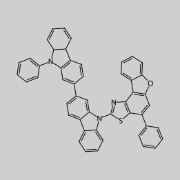 C1=CC2c3ccc(-c4ccc5c6ccccc6n(-c6nc7c(s6)c(-c6ccccc6)cc6oc8ccccc8c67)c5c4)cc3N(c3ccccc3)C2C=C1